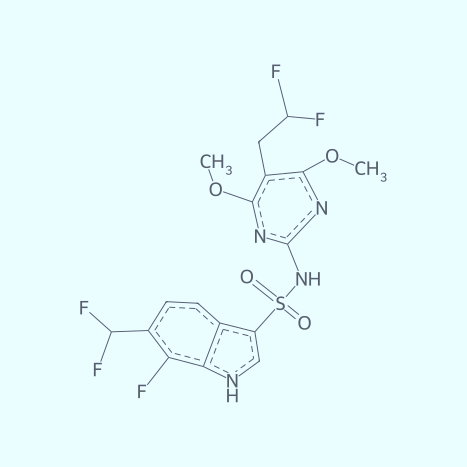 COc1nc(NS(=O)(=O)c2c[nH]c3c(F)c(C(F)F)ccc23)nc(OC)c1CC(F)F